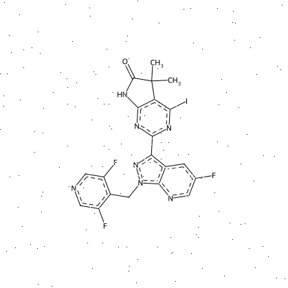 CC1(C)C(=O)Nc2nc(-c3nn(Cc4c(F)cncc4F)c4ncc(F)cc34)nc(I)c21